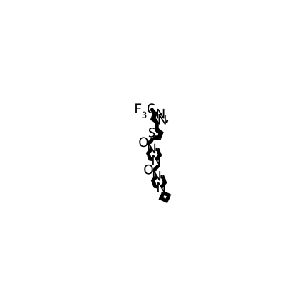 Cn1nc(C(F)(F)F)cc1-c1ccc(C(=O)N2CCN(CC(=O)N3CCN(C4CCC4)CC3)CC2)s1